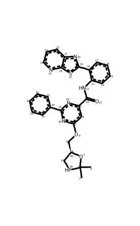 CC1(C)O[C@H](COc2cc(C(=O)Nc3ccccc3-c3nc4cccnc4s3)nc(-c3ccccc3)n2)CP1